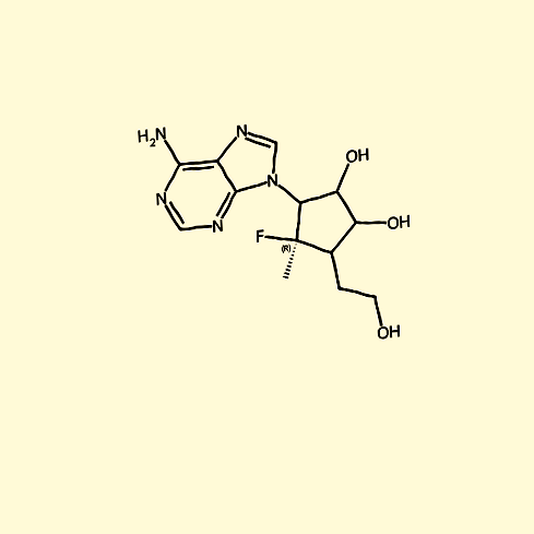 C[C@@]1(F)C(CCO)C(O)C(O)C1n1cnc2c(N)ncnc21